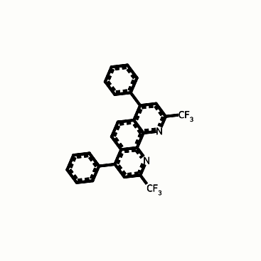 FC(F)(F)c1cc(-c2ccccc2)c2ccc3c(-c4ccccc4)cc(C(F)(F)F)nc3c2n1